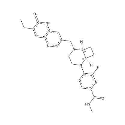 CCc1cc2ncc(CN3CCN(c4ccc(C(=O)NC)nc4F)[C@@H]4CC[C@@H]43)cc2[nH]c1=O